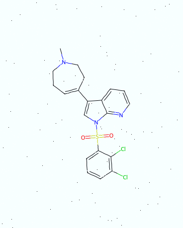 CN1CCC=C(c2cn(S(=O)(=O)c3cccc(Cl)c3Cl)c3ncccc23)CC1